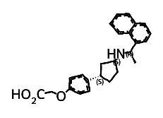 C[C@@H](N[C@H]1CC[C@H](c2ccc(OCC(=O)O)cc2)C1)c1cccc2ccccc12